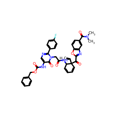 C=CC1(C(=O)c2nc3cc(C(=O)N(C)C)ccc3o2)C=CC=CC1NC(=O)Cn1c(-c2ccc(F)cc2)ncc(NC(=O)OCc2ccccc2)c1=O